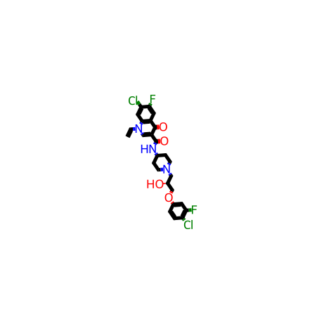 C=Cn1cc(C(=O)NC2CCN(C[C@@H](O)COc3ccc(Cl)c(F)c3)CC2)c(=O)c2cc(F)c(Cl)cc21